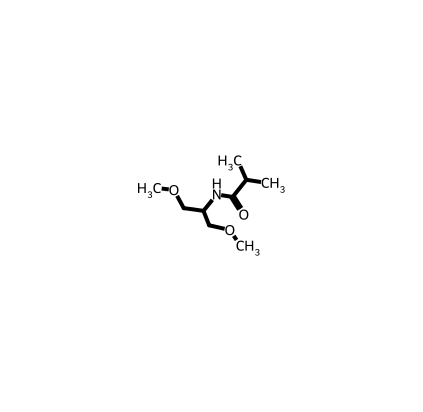 COCC(COC)NC(=O)C(C)C